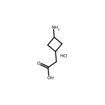 Cl.NC1CC(CC(=O)O)C1